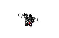 C[C@@H](Nc1nc(C(=N)OC(N)=O)nc2nc(C3(c4ccccc4)CCC3)n(C[C@H]3CC[C@H](C)CC3)c12)C1CCC1